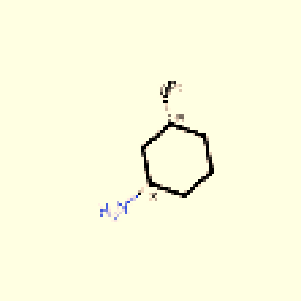 CCC[C@@H]1CCC[C@H](N)C1